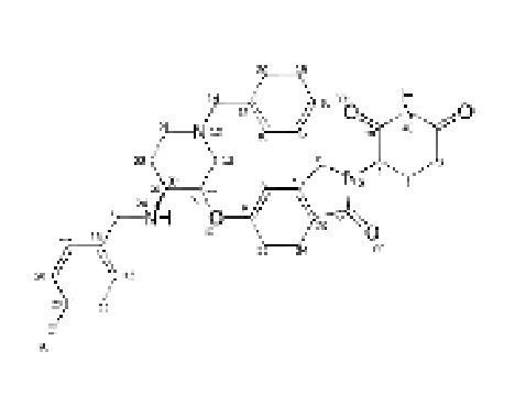 O=C1CCC(N2Cc3cc(O[C@H]4CN(Cc5ccccc5)CC[C@@H]4NCc4ccc(F)cc4)ccc3C2=O)C(=O)N1